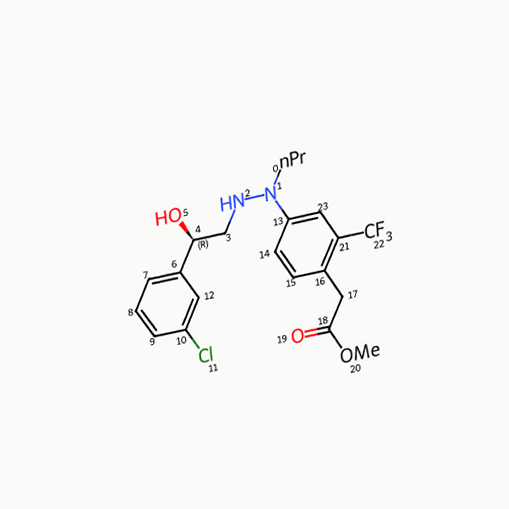 CCCN(NC[C@H](O)c1cccc(Cl)c1)c1ccc(CC(=O)OC)c(C(F)(F)F)c1